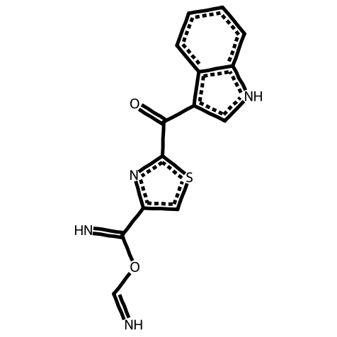 N=COC(=N)c1csc(C(=O)c2c[nH]c3ccccc23)n1